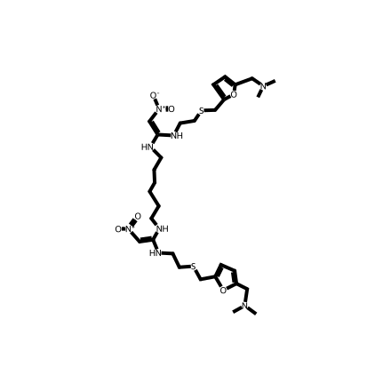 CN(C)Cc1ccc(CSCCNC(=C[N+](=O)[O-])NCCCCCCNC(=C[N+](=O)[O-])NCCSCc2ccc(CN(C)C)o2)o1